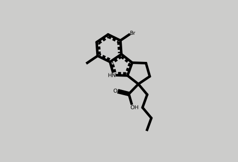 CCCCC1(C(=O)O)CCc2c1[nH]c1c(C)ccc(Br)c21